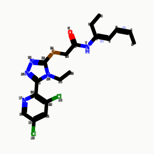 C/C=C\C=C(/CC)NC(=O)CSc1nnc(-c2ncc(Cl)cc2Cl)n1CC